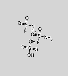 NS(=O)(=O)F.NS(=O)(=O)F.O=S(=O)(O)O